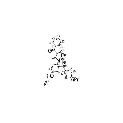 C#CCOc1ccc2c(c1)c(-c1ccc(C(C)C)cc1)nc(=O)n2Cc1coc2ccccc2c1=O